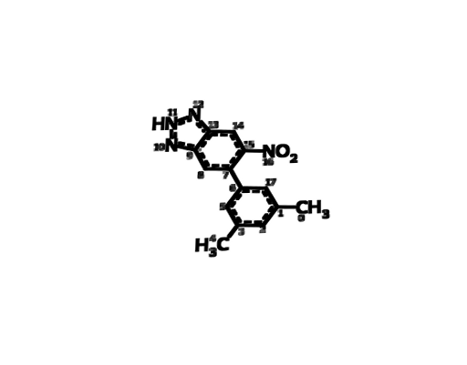 Cc1cc(C)cc(-c2cc3n[nH]nc3cc2[N+](=O)[O-])c1